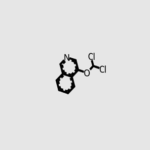 ClC(Cl)Oc1cncc2ccccc12